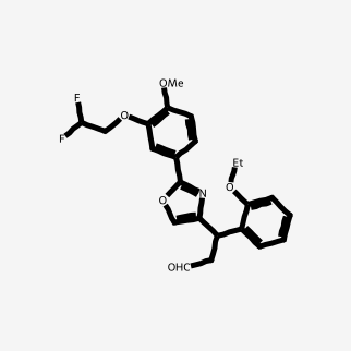 CCOc1ccccc1C(CC=O)c1coc(-c2ccc(OC)c(OCC(F)F)c2)n1